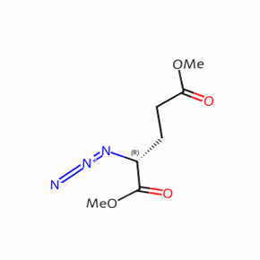 COC(=O)CC[C@@H](N=[N+]=[N-])C(=O)OC